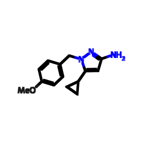 COc1ccc(Cn2nc(N)cc2C2CC2)cc1